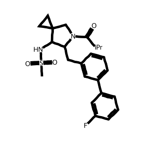 CC(C)C(=O)N1CC2(CC2)C(NS(C)(=O)=O)C1Cc1cccc(-c2cccc(F)c2)c1